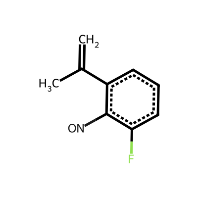 C=C(C)c1cccc(F)c1N=O